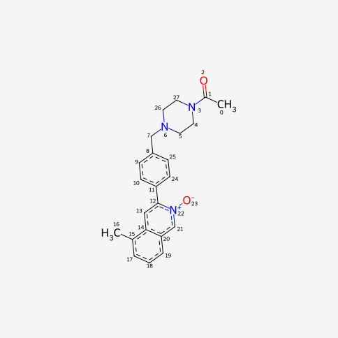 CC(=O)N1CCN(Cc2ccc(-c3cc4c(C)cccc4c[n+]3[O-])cc2)CC1